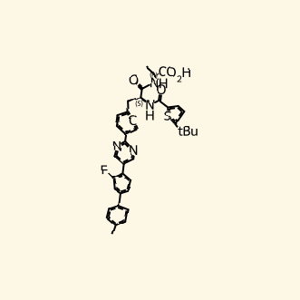 Cc1ccc(-c2ccc(-c3cnc(-c4ccc(C[C@H](NC(=O)c5ccc(C(C)(C)C)s5)C(=O)N[C@H](C)C(=O)O)cc4)nc3)c(F)c2)cc1